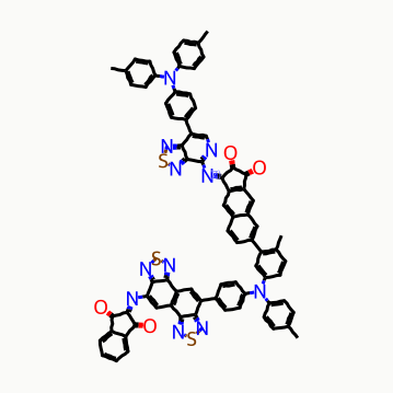 Cc1ccc(N(c2ccc(C)cc2)c2ccc(-c3cnc(/N=c4\c(=O)c(=O)c5cc6cc(-c7cc(N(c8ccc(C)cc8)c8ccc(-c9cc%10c(cc(N=c%11c(=O)c%12ccccc%12c%11=O)c%11nsnc%11%10)c%10nsnc9%10)cc8)ccc7C)ccc6cc45)c4nsnc34)cc2)cc1